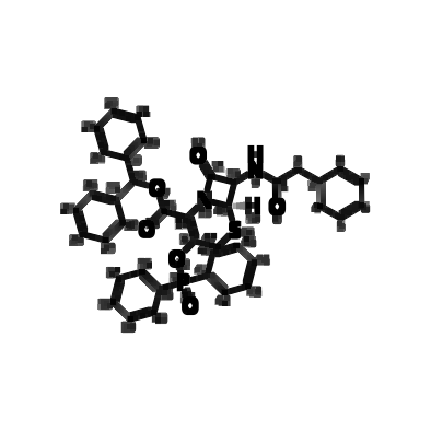 O=C(Cc1ccccc1)NC1C(=O)N2C(C(=O)OC(c3ccccc3)c3ccccc3)=C(OP(=O)(c3ccccc3)c3ccccc3)CS[C@H]12